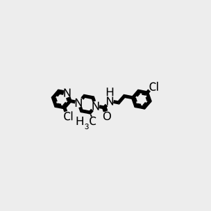 C[C@@H]1CN(c2ncccc2Cl)CCN1C(=O)NCCc1cccc(Cl)c1